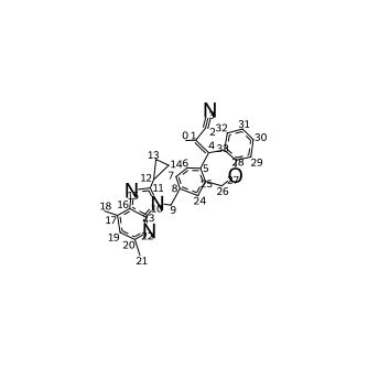 C/C(C#N)=C1\c2ccc(Cn3c(C4CC4)nc4c(C)cc(C)nc43)cc2COc2ccccc21